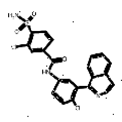 NS(=O)(=O)c1ccc(C(=O)Nc2ccc(Cl)c(-c3nccc4ccccc34)c2)cc1Cl